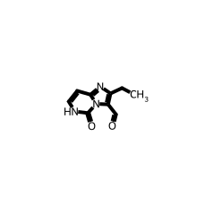 CCc1nc2cc[nH]c(=O)n2c1C=O